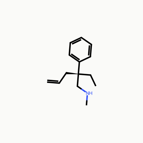 C=CC[C@@](CC)(CNC)c1ccccc1